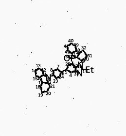 CCc1nc2cc(-c3ccc(-n4c5ccccc5c5ccccc54)cc3)cc3c2n1-c1ccccc1P3(=O)c1ccccc1